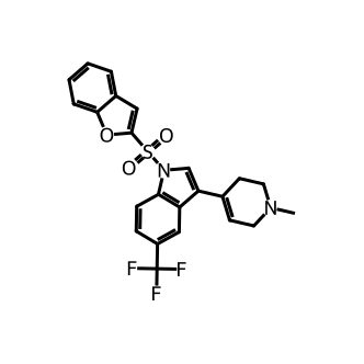 CN1CC=C(c2cn(S(=O)(=O)c3cc4ccccc4o3)c3ccc(C(F)(F)F)cc23)CC1